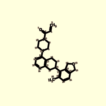 C=CC(=O)N1CCN(c2ncnc3c2CCC(c2c(C)ccc4c2COC4)C3)CC1